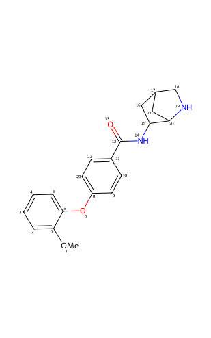 COc1ccccc1Oc1ccc(C(=O)NC2CC3CNC2C3)cc1